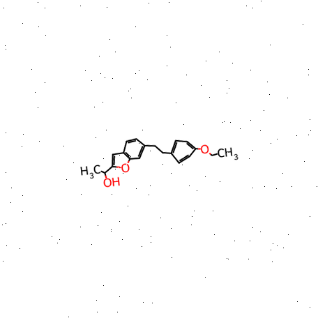 CCOc1ccc(CCc2ccc3cc(C(C)O)oc3c2)cc1